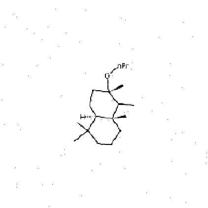 CCCO[C@@]1(C)CC[C@@H]2C(C)(C)CCC[C@@]2(C)C1C